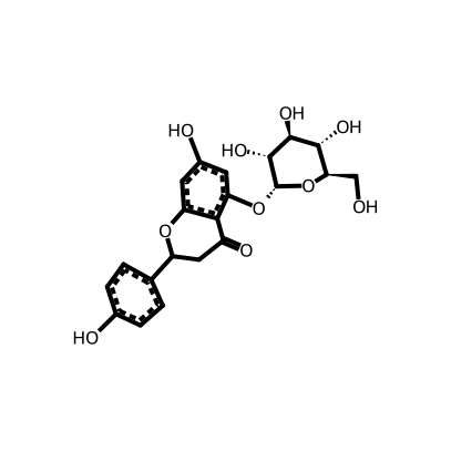 O=C1CC(c2ccc(O)cc2)Oc2cc(O)cc(O[C@H]3O[C@H](CO)[C@@H](O)[C@H](O)[C@H]3O)c21